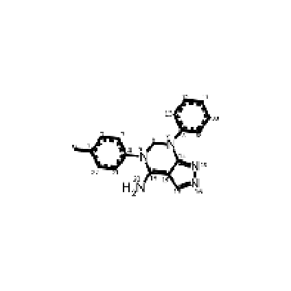 Cc1ccc(N2CN(c3ccccc3)C3=NN=CC3=C2N)cc1